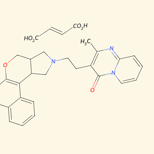 Cc1nc2ccccn2c(=O)c1CCN1CC2COc3ccc4ccccc4c3C2C1.O=C(O)C=CC(=O)O